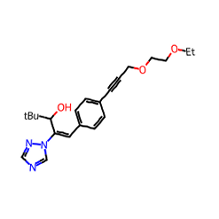 [CH2]COCCOCC#Cc1ccc(/C=C(\C(O)C(C)(C)C)n2cncn2)cc1